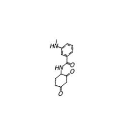 CNc1cccc(C(=O)NC2CCC(=O)CC2=O)c1